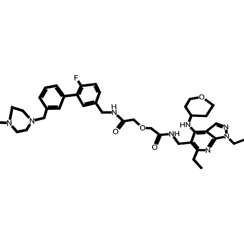 CCc1nc2c(cnn2CC)c(NC2CCOCC2)c1CNC(=O)COCC(=O)NCc1ccc(F)c(-c2cccc(CN3CCN(C)CC3)c2)c1